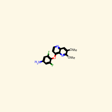 COc1cc2nccc(Oc3c(F)cc(N)cc3F)c2nc1OC